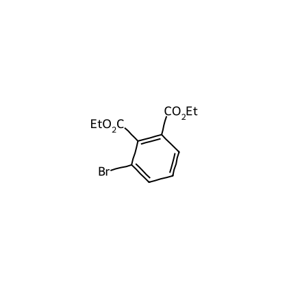 CCOC(=O)c1cccc(Br)c1C(=O)OCC